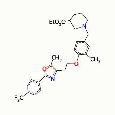 CCOC(=O)C1CCCN(Cc2ccc(OCCc3nc(-c4ccc(C(F)(F)F)cc4)oc3C)c(C)c2)C1